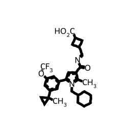 Cc1c(C(=O)/N=C/C2CC(C(=O)O)C2)cc(-c2cc(OC(F)(F)F)cc(C3(C)CC3)c2)n1CC1CCCCC1